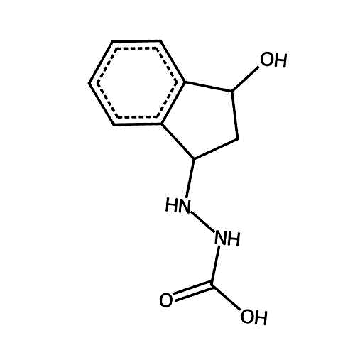 O=C(O)NNC1CC(O)c2ccccc21